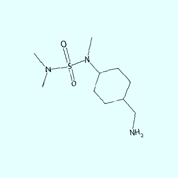 CN(C)S(=O)(=O)N(C)C1CCC(CN)CC1